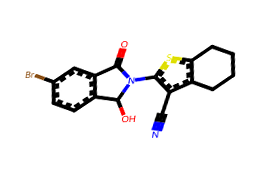 N#Cc1c(N2C(=O)c3cc(Br)ccc3C2O)sc2c1CCCC2